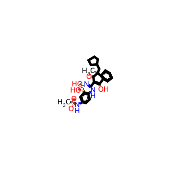 C[C@@]1(CC2CCCC2)C(=O)C(C2=NS(O)(O)c3cc(NS(C)(=O)=O)ccc3N2)=C(O)c2ccccc21